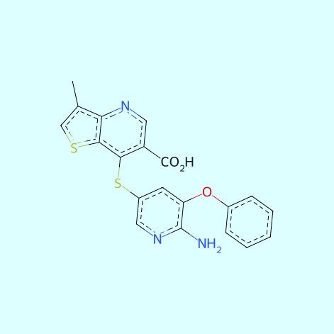 Cc1csc2c(Sc3cnc(N)c(Oc4ccccc4)c3)c(C(=O)O)cnc12